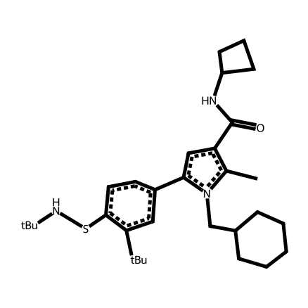 Cc1c(C(=O)NC2CCC2)cc(-c2ccc(SNC(C)(C)C)c(C(C)(C)C)c2)n1CC1CCCCC1